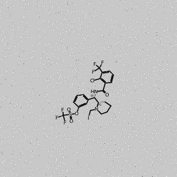 O=C(N[C@@H](c1cccc(OS(=O)(=O)C(F)(F)F)c1)[C@@H]1CCCCN1CI)c1cccc(C(F)(F)F)c1Cl